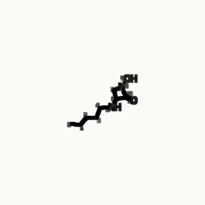 CCCCCNC1CN(O)C1=O